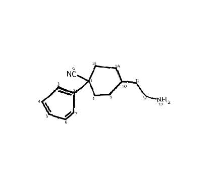 N#CC1(c2ccccc2)CCC(CCN)CC1